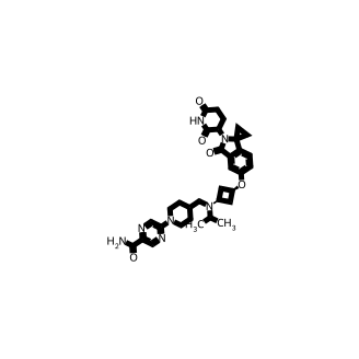 CC(C)N(CC1CCN(c2cnc(C(N)=O)cn2)CC1)[C@H]1C[C@H](Oc2ccc3c(c2)C(=O)N(C2CCC(=O)NC2=O)C32CC2)C1